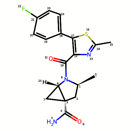 [CH2][C@H]1C[C@@]2(C(N)=O)C[C@@H]2N1C(=O)c1nc(C)sc1-c1ccc(F)cc1